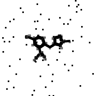 Cn1nnc(Cc2ncc(Cl)cc2[N+](=O)[O-])n1